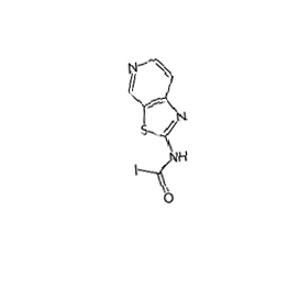 O=C(I)Nc1nc2ccncc2s1